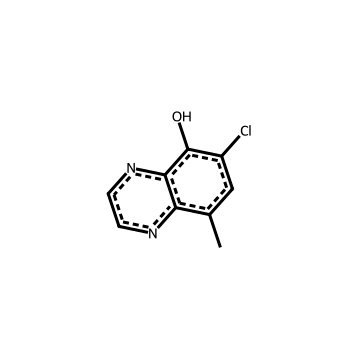 Cc1cc(Cl)c(O)c2nccnc12